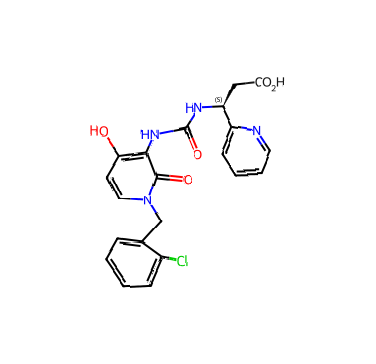 O=C(O)C[C@H](NC(=O)Nc1c(O)ccn(Cc2ccccc2Cl)c1=O)c1ccccn1